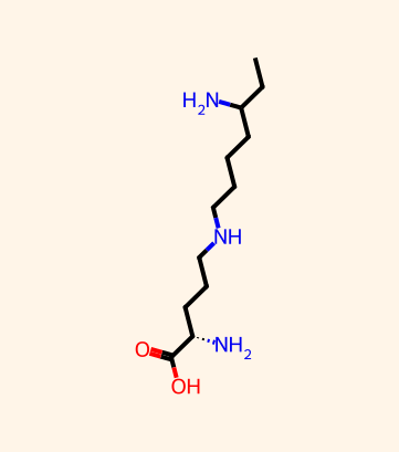 CCC(N)CCCCNCCC[C@H](N)C(=O)O